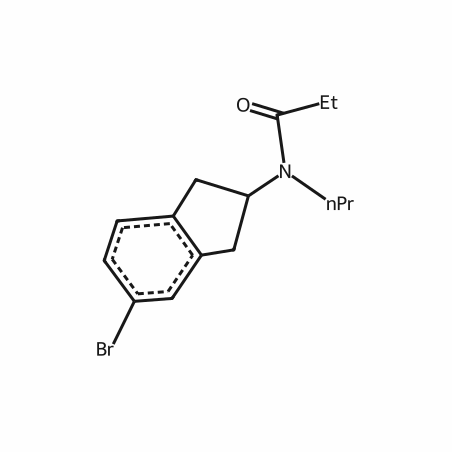 CCCN(C(=O)CC)C1Cc2ccc(Br)cc2C1